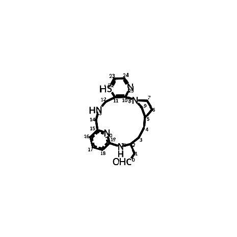 O=CCC1CCC2CCN(C2)C2=C(CNCc3cccc(n3)N1)[SH]=CC=N2